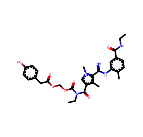 CCNC(=O)c1ccc(C)c(NC(=N)c2c(C)c(C(=O)N(CC)C(=O)OCOC(=O)Cc3ccc(O)cc3)cn2C)c1